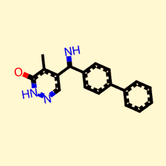 Cc1c(C(=N)c2ccc(-c3ccccc3)cc2)cn[nH]c1=O